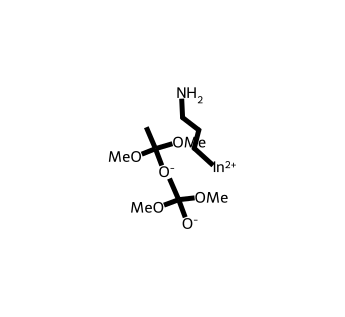 COC(C)([O-])OC.COC(C)([O-])OC.NCC[CH2][In+2]